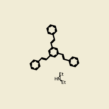 C(=Cc1cc(C=Cc2ccccc2)cc(C=Cc2ccccc2)c1)c1ccccc1.CCNCC